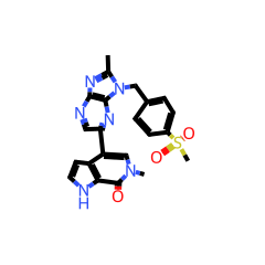 Cc1nc2ncc(-c3cn(C)c(=O)c4[nH]ccc34)nc2n1Cc1ccc(S(C)(=O)=O)cc1